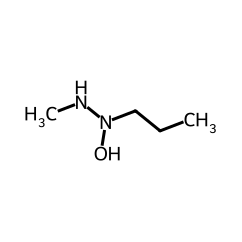 CCCN(O)NC